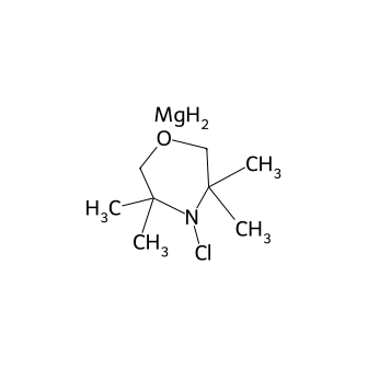 CC1(C)COCC(C)(C)N1Cl.[MgH2]